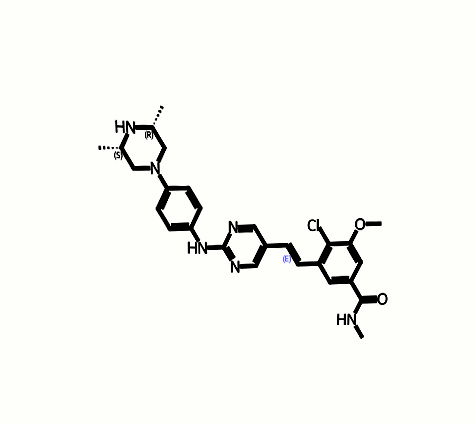 CNC(=O)c1cc(/C=C/c2cnc(Nc3ccc(N4C[C@@H](C)N[C@@H](C)C4)cc3)nc2)c(Cl)c(OC)c1